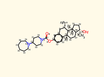 CCC[C@@H]1Cc2cc(OC(=O)N3CCC(N4CCCCCC4)CC3)ccc2[C@H]2CC[C@]3(C)[C@@H](O)CC[C@H]3[C@H]12